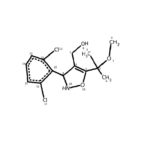 COC(C)(C)C1=C(CO)C(c2c(Cl)cccc2Cl)NO1